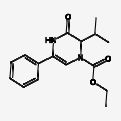 CCOC(=O)N1C=C(c2ccccc2)NC(=O)C1C(C)C